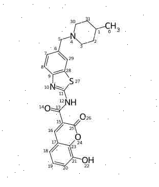 CC1CCN(Cc2ccc3nc(NC(=O)c4cc5cccc(O)c5oc4=O)sc3c2)CC1